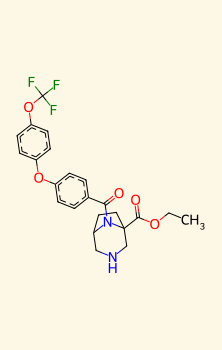 CCOC(=O)C12CCC(CNC1)N2C(=O)c1ccc(Oc2ccc(OC(F)(F)F)cc2)cc1